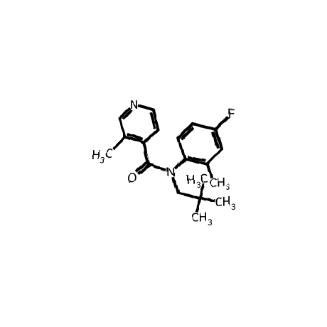 Cc1cnccc1C(=O)N(CC(C)(C)C)c1ccc(F)cc1C